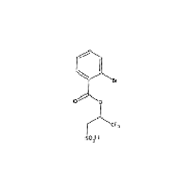 O=C(OC(CS(=O)(=O)O)C(F)(F)F)c1ccccc1Br